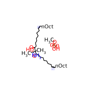 CCCCCCCC/C=C\CCCCCCCC(=O)C(C)(C(=O)CCCCCCC/C=C\CCCCCCCC)C(C)(N)O.COS(=O)(=O)O